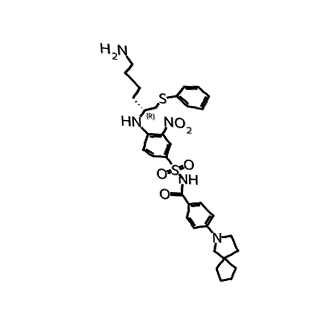 NCCCC[C@H](CSc1ccccc1)Nc1ccc(S(=O)(=O)NC(=O)c2ccc(N3CCC4(CCCC4)C3)cc2)cc1[N+](=O)[O-]